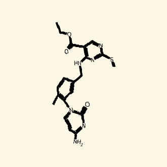 CCOC(=O)c1cnc(SC)nc1NCc1ccc(C)c(-n2ccc(N)nc2=O)c1